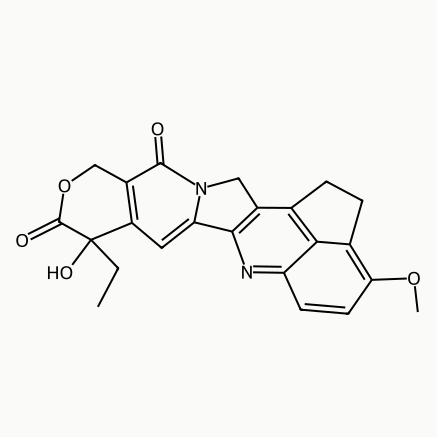 CCC1(O)C(=O)OCc2c1cc1n(c2=O)Cc2c-1nc1ccc(OC)c3c1c2CC3